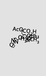 CC(=O)OC(Cc1cc(O[Si](C)(C)C(C)(C)C)c(Br)cc1OCc1ccnc(C2CCCO2)n1)C(=O)O